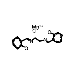 [Cl-].[Mn+3].[O-]c1ccccc1C=NCCN=Cc1ccccc1[O-]